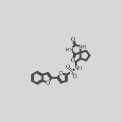 O=C1NC(=O)C2(CCCC2CNS(=O)(=O)c2ccc(-c3cc4ccccc4o3)o2)N1